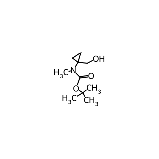 CN(C(=O)OC(C)(C)C)C1(CO)CC1